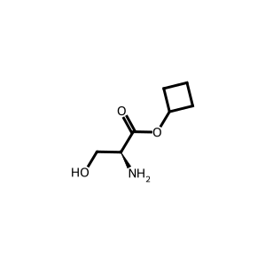 N[C@@H](CO)C(=O)OC1CCC1